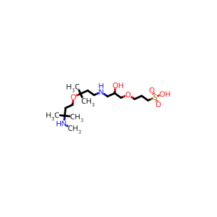 CNC(C)(C)CCOC(C)(C)CCNCC(O)COCCCS(=O)(=O)O